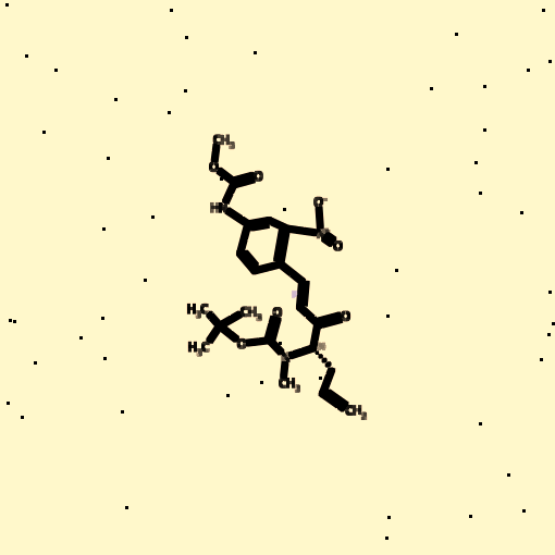 C=CC[C@@H](C(=O)/C=C/c1ccc(NC(=O)OC)cc1[N+](=O)[O-])N(C)C(=O)OC(C)(C)C